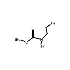 CC(C)N(CCS)C(=O)OC(C)(C)C